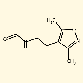 Cc1noc(C)c1CCNC=O